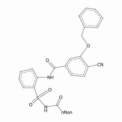 CCCCCCCCCC(=O)NS(=O)(=O)c1ccccc1NC(=O)c1ccc(C#N)c(OCc2ccccc2)c1